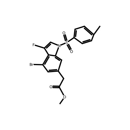 COC(=O)Cc1cc(Br)c2c(F)cn(S(=O)(=O)c3ccc(C)cc3)c2c1